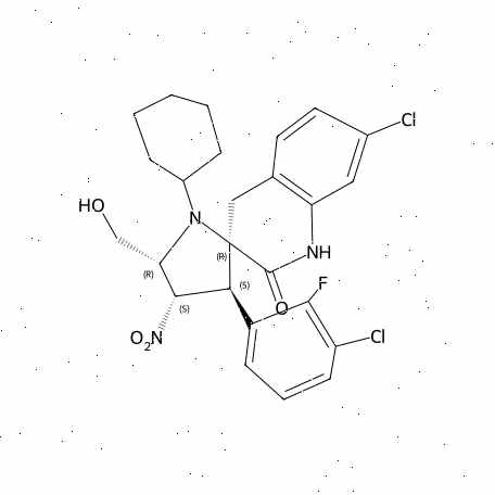 O=C1Nc2cc(Cl)ccc2C[C@@]12[C@@H](c1cccc(Cl)c1F)[C@H]([N+](=O)[O-])[C@H](CO)N2C1CCCCC1